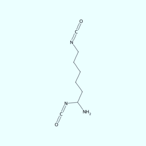 NC(CCCCCN=C=O)N=C=O